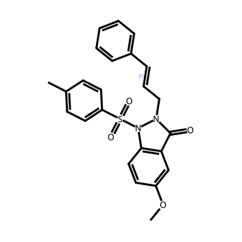 COc1ccc2c(c1)c(=O)n(C/C=C/c1ccccc1)n2S(=O)(=O)c1ccc(C)cc1